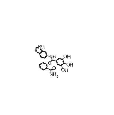 NC(=O)c1ccccc1.O=C(Nc1ccc2cc[nH]c2c1)c1cc(O)c(O)c(O)c1